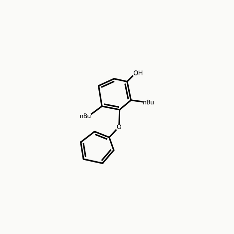 CCCCc1ccc(O)c(CCCC)c1Oc1ccccc1